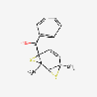 O=C(c1ccccc1)C12C=CC3(C(Cl)(Cl)Cl)SC3C1([N+](=O)[O-])S2